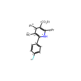 CCOC(=O)C1=C(C(C)C)NC(c2ccc(F)cc2)=C(C#N)C1C(C)C